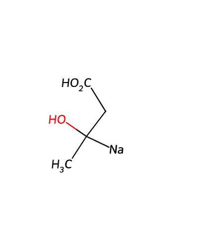 C[C](O)([Na])CC(=O)O